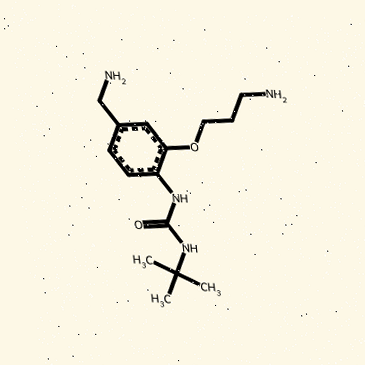 CC(C)(C)NC(=O)Nc1ccc(CN)cc1OCCCN